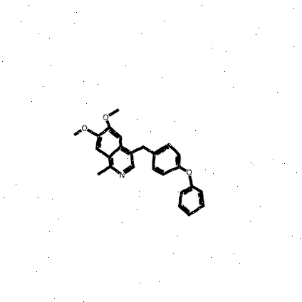 COc1cc2c(Cc3ccc(Oc4ccccc4)cc3)cnc(C)c2cc1OC